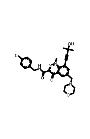 Cn1nc(C(=O)NCc2ccc(Cl)cc2)c(=O)c2cc(CN3CCOCC3)cc(C#CC(C)(C)O)c21